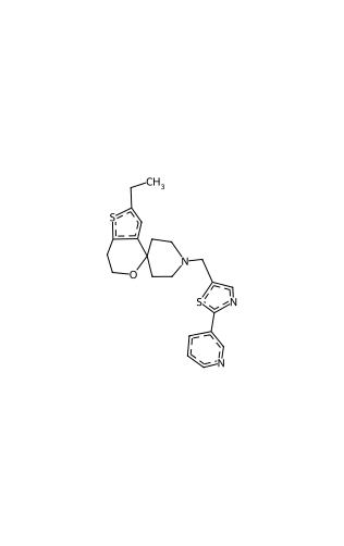 CCc1cc2c(s1)CCOC21CCN(Cc2cnc(-c3cccnc3)s2)CC1